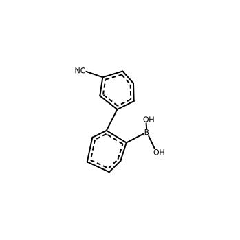 N#Cc1cccc(-c2ccccc2B(O)O)c1